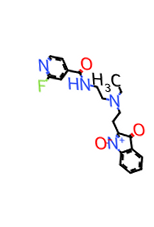 CCN(CCNC(=O)c1ccnc(F)c1)CCC1=[N+]([O-])c2ccccc2C1=O